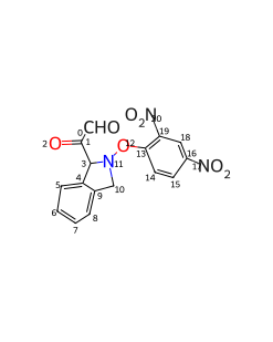 O=CC(=O)C1c2ccccc2CN1Oc1ccc([N+](=O)[O-])cc1[N+](=O)[O-]